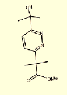 COC(=O)C(C)(C)c1ccc(C(C)(C)O)nn1